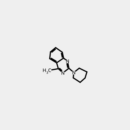 Cc1nc(N2CCCCC2)nc2ccccc12